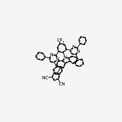 N#Cc1cc(C#N)cc(-c2ccc3c(c2)c2ccccc2n3-c2c(-c3cc(-c4ccccc4)nc(-c4ccccc4)n3)cc(C(F)(F)F)cc2-c2nc(-c3ccccc3)cc(-c3ccccc3)n2)c1